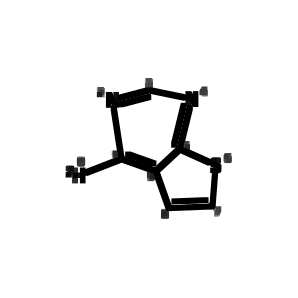 [2H]c1ncnc2sccc12